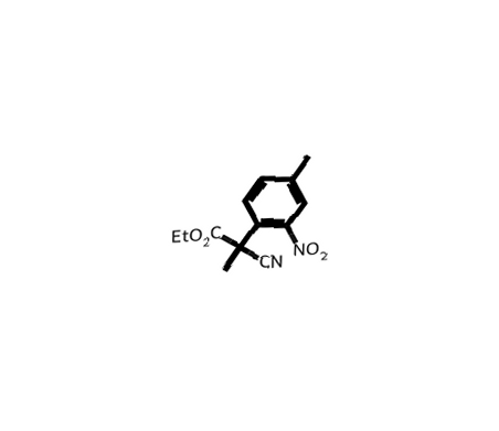 CCOC(=O)C(C)(C#N)c1ccc(C)cc1[N+](=O)[O-]